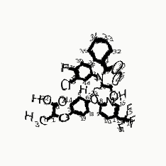 CC(Oc1ccc(Oc2ccc(C(F)(F)F)cn2)cc1)C(=O)O.C[C@@H](C(=O)O)N(C(=O)c1ccccc1)c1ccc(F)c(Cl)c1